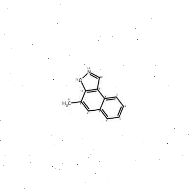 Cc1cc2ccccc2c2cnoc12